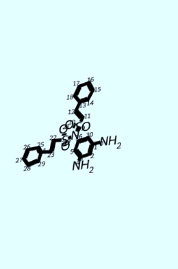 Nc1cc(N)cc(N(S(=O)(=O)/C=C/c2ccccc2)S(=O)(=O)/C=C/c2ccccc2)c1